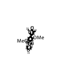 COc1cc(S(=O)(=O)N2CCN(C)CC2)c(OC)cc1-c1cc(C)c(=O)n(C)c1